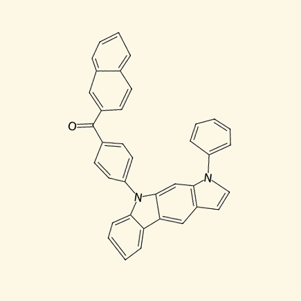 O=C(c1ccc(-n2c3ccccc3c3cc4ccn(-c5ccccc5)c4cc32)cc1)c1ccc2ccccc2c1